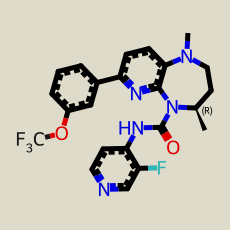 C[C@@H]1CCN(C)c2ccc(-c3cccc(OC(F)(F)F)c3)nc2N1C(=O)Nc1ccncc1F